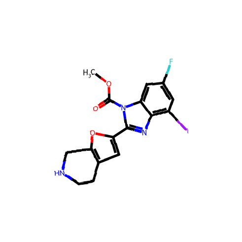 COC(=O)n1c(-c2cc3c(o2)CNCC3)nc2c(I)cc(F)cc21